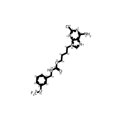 Nc1nc(Cl)nc2c1ncn2CCCCOC(=O)NCc1cccc(OC(F)(F)F)c1